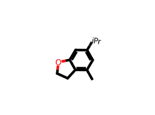 Cc1cc(C(C)C)cc2c1CCO2